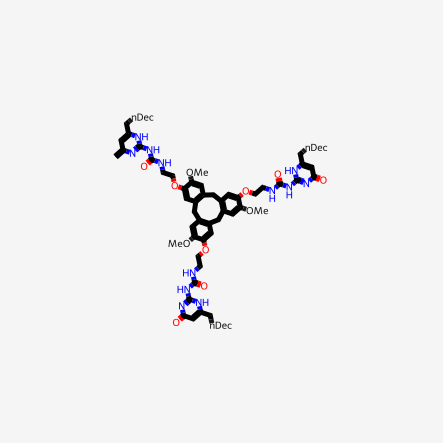 C=C1C=C(CCCCCCCCCCC)NC(NC(=O)NCCOc2cc3c(cc2OC)Cc2cc(OCCNC(=O)Nc4nc(=O)cc(CCCCCCCCCCC)[nH]4)c(OC)cc2Cc2cc(OCCNC(=O)Nc4nc(=O)cc(CCCCCCCCCCC)[nH]4)c(OC)cc2C3)=N1